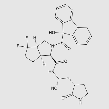 N#C[C@@H](C[C@@H]1CCNC1=O)NC(=O)[C@H]1[C@H]2CCC(F)(F)[C@H]2CN1C(=O)C1(O)c2ccccc2-c2ccccc21